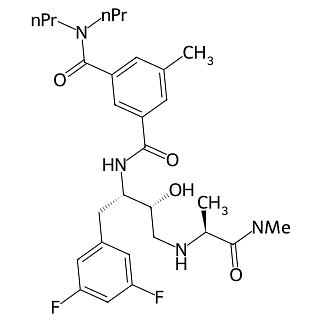 CCCN(CCC)C(=O)c1cc(C)cc(C(=O)N[C@@H](Cc2cc(F)cc(F)c2)[C@H](O)CN[C@@H](C)C(=O)NC)c1